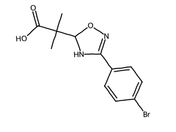 CC(C)(C(=O)O)C1NC(c2ccc(Br)cc2)=NO1